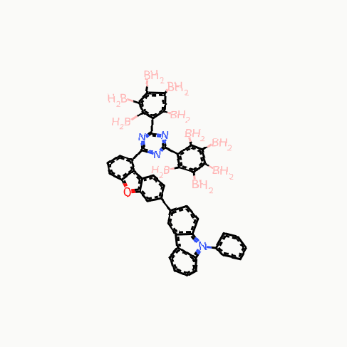 Bc1c(B)c(B)c(-c2nc(-c3c(B)c(B)c(B)c(B)c3B)nc(-c3cccc4oc5cc(-c6ccc7c(c6)c6ccccc6n7-c6ccccc6)ccc5c34)n2)c(B)c1B